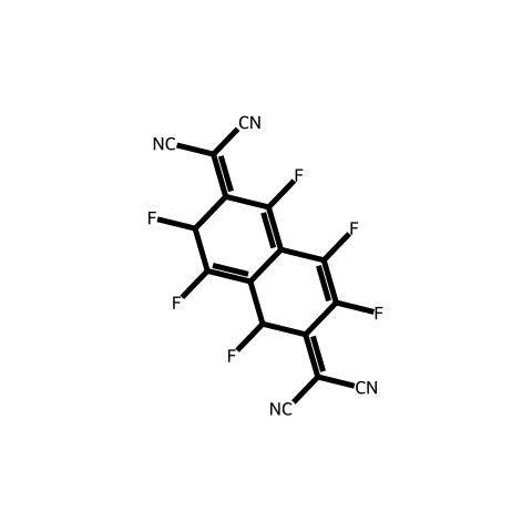 N#CC(C#N)=C1C(F)=C2C(F)=C(F)C(=C(C#N)C#N)C(F)C2=C(F)C1F